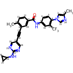 Cc1cn(-c2ccc(NC(=O)c3ccc(C)c(C#Cc4cnc(NC5CC5)nc4)c3)cc2C(F)(F)F)cn1